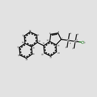 C[Si](C)(Cl)[Si](C)(C)C1C=Cc2c(-c3cccc4ccccc34)cccc21